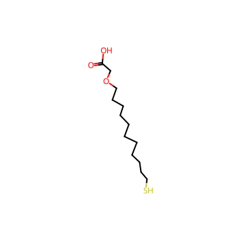 O=C(O)COCCCCCCCCCCCS